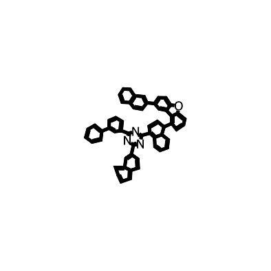 C1=CC2=C(c3nc(-c4cccc(-c5ccccc5)c4)nc(-c4ccc5ccccc5c4)n3)C=CC(c3cccc4oc5ccc(-c6ccc7c(c6)CCC=C7)cc5c34)C2C=C1